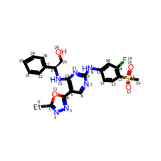 CCc1nnc(-c2cnc(Nc3ccc(S(C)(=O)=O)c(F)c3)nc2N[C@H](CO)c2ccccc2)o1